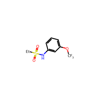 CCS(=O)(=O)Nc1cccc(OC(F)(F)F)c1